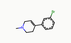 CN1CC=C(c2cccc(Br)c2)CC1